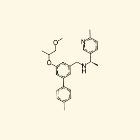 COCC(C)Oc1cc(CN[C@H](C)c2ccc(C)nc2)cc(-c2ccc(C)cc2)c1